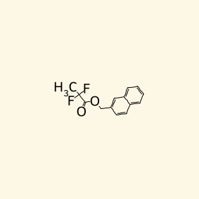 CC(F)(F)C(=O)OCc1ccc2ccccc2c1